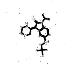 CC(C)N1C(=O)/C(=C2/COCCN2)c2cc(NCC(C)(C)C)ccc21